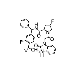 CC1(c2ccc(C(NC(=O)C3CC(F)CN3C(=O)Cn3c(=O)[nH]c4ccccc43)c3ccccc3)cc2F)CC1